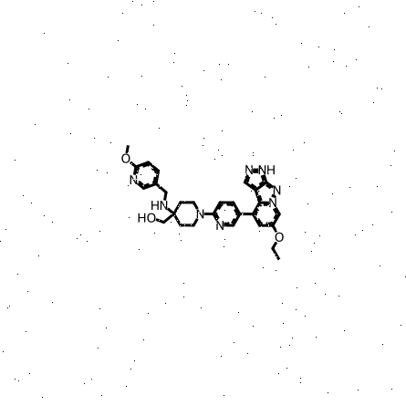 CCOc1cc(-c2ccc(N3CCC(CO)(NCc4ccc(OC)nc4)CC3)nc2)c2c3cn[nH]c3nn2c1